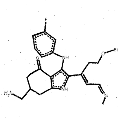 CCOCC/C(=C\C=N/C)c1[nH]c2c(c1Nc1cccc(F)c1)C(=O)CC(CN)C2